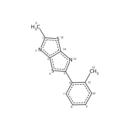 Cc1nc2sc(-c3ccccc3C)nc2s1